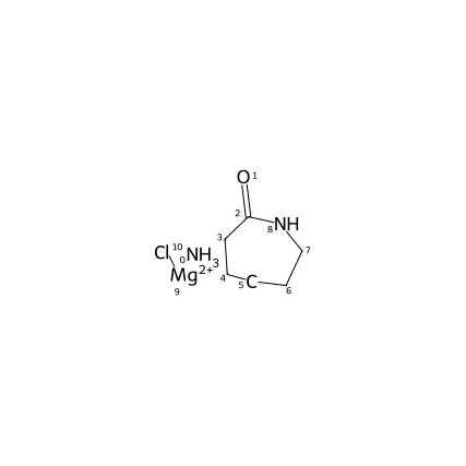 N.O=C1CCCCCN1.[Mg+2][Cl]